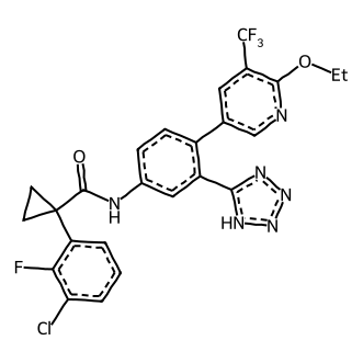 CCOc1ncc(-c2ccc(NC(=O)C3(c4cccc(Cl)c4F)CC3)cc2-c2nnn[nH]2)cc1C(F)(F)F